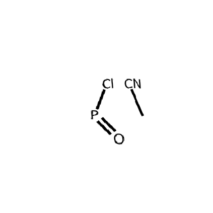 CC#N.O=PCl